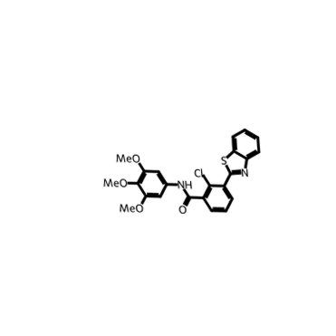 COc1cc(NC(=O)c2cccc(-c3nc4ccccc4s3)c2Cl)cc(OC)c1OC